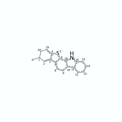 CC1C=c2c(sc3c2ccc2c4ccccc4[nH]c23)=CC1